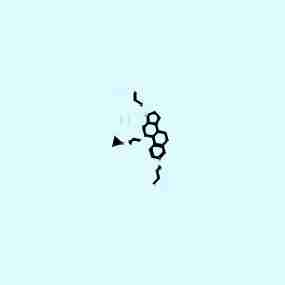 CCCCOc1ccc2c(c1)CCC1C2[C@@H](CCOC2CC2)CC2(C)C(OCCCC)CCC12